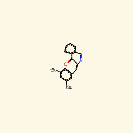 CC(C)(C)c1cc(/C=C2/N=Cc3ccccc3C2=O)cc(C(C)(C)C)c1